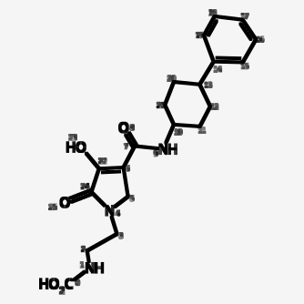 O=C(O)NCCN1CC(C(=O)NC2CCC(c3ccccc3)CC2)=C(O)C1=O